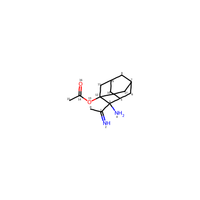 CC(=N)C1(N)C2CC3CC(C2)CC1(OC(C)=O)C3